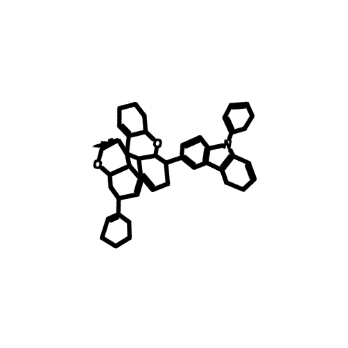 C1=CCCC(n2c3c(c4cc(C5CC=CC6C5OC5CCCC=C5C65C6C=CC=CC6OC6CC(C7=CCCCC7)C=CC65)ccc42)CCC=C3)=C1